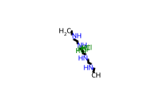 C#CCNCCCNCC=CCNCCCNCC=C.Cl.Cl.Cl.Cl